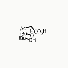 CC(=O)CC(=O)O.CCC(C)O.CCC(C)O